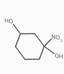 O=[N+]([O-])C1(O)CCCC(O)C1